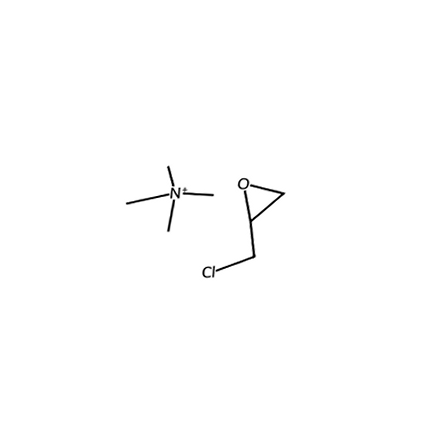 C[N+](C)(C)C.ClCC1CO1